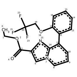 CCOC(=O)c1cn2cccc(-c3ccccc3OCC(F)(F)F)c2n1